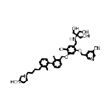 Cc1c(CCCCN2CC[C@@H](O)C2)cccc1-c1cccc(COc2cc(OCc3cncc(C#N)c3)c(CNC(CO)(CO)CO)cc2Cl)c1C